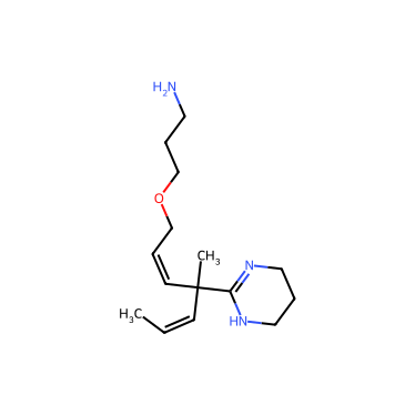 C/C=C\C(C)(/C=C\COCCCN)C1=NCCCN1